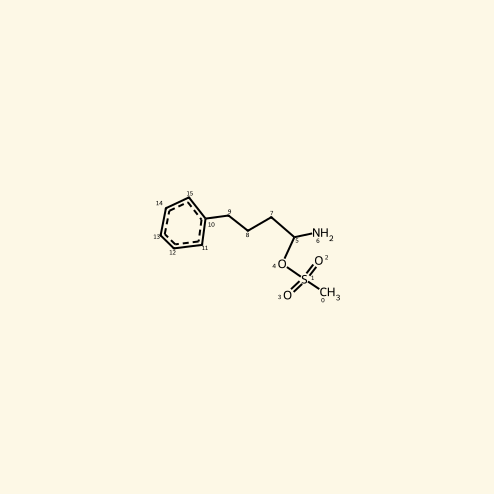 CS(=O)(=O)OC(N)CCCc1ccccc1